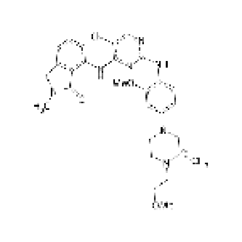 COCCN1CCN(c2ccc(Nc3ncc(Cl)c(Nc4cccc5c4C(=O)N(C)C5)n3)c(OC)c2)C[C@@H]1C